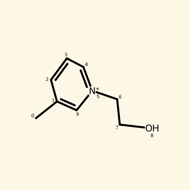 Cc1ccc[n+](CCO)c1